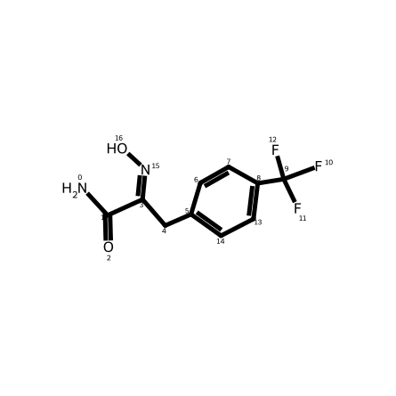 NC(=O)C(Cc1ccc(C(F)(F)F)cc1)=NO